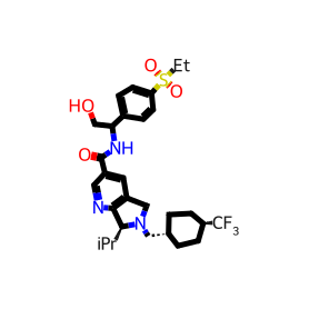 CCS(=O)(=O)c1ccc(C(CO)NC(=O)c2cnc3c(c2)CN(C[C@H]2CC[C@H](C(F)(F)F)CC2)[C@H]3C(C)C)cc1